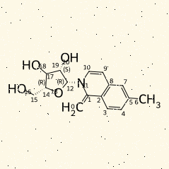 C=C1c2ccc(C)cc2C=CN1[C@@H]1O[C@H](CO)C(O)[C@@H]1O